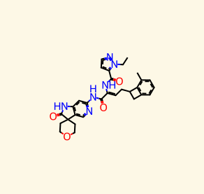 CCn1nccc1C(=O)NC(=CCC1Cc2cccc(C)c21)C(=O)Nc1cc2c(cn1)C1(CCOCC1)C(=O)N2